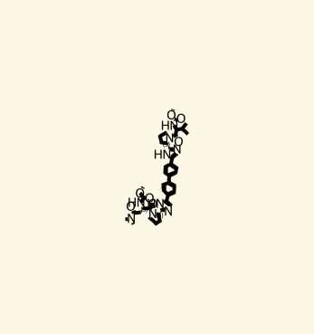 COC(=O)NC(C(=O)N1CCC[C@H]1c1ncc(-c2ccc(-c3ccc(-c4cnc([C@@H]5CCCN5C(=O)[C@H](CC(=O)N(C)C)NC(=O)OC)[nH]4)cc3)cc2)[nH]1)C(C)C